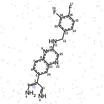 N=C/C(=C\N)c1ccc2nc(NCc3ccc(F)c(F)c3)cnc2c1